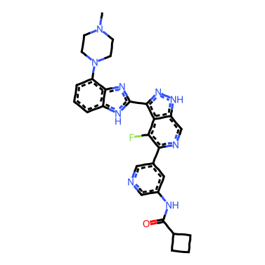 CN1CCN(c2cccc3[nH]c(-c4n[nH]c5cnc(-c6cncc(NC(=O)C7CCC7)c6)c(F)c45)nc23)CC1